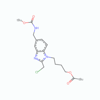 CC(C)(C)OC(=O)NCc1ccc2c(c1)nc(CCl)n2CCCCOC(=O)C(C)(C)C